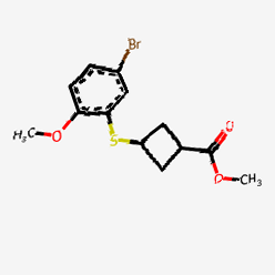 COC(=O)C1CC(Sc2cc(Br)ccc2OC)C1